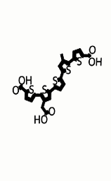 Cc1cc(-c2ccc(-c3cc(CC(=O)O)c(-c4ccc(C(=O)O)s4)s3)s2)sc1-c1ccc(C(=O)O)s1